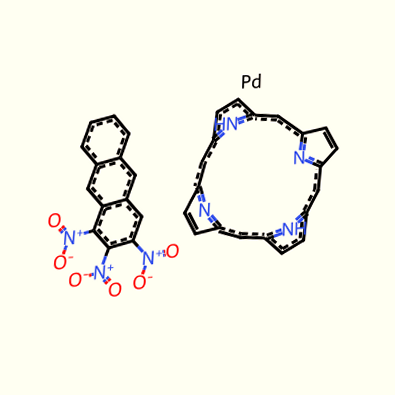 C1=Cc2cc3ccc(cc4nc(cc5ccc(cc1n2)[nH]5)C=C4)[nH]3.O=[N+]([O-])c1cc2cc3ccccc3cc2c([N+](=O)[O-])c1[N+](=O)[O-].[Pd]